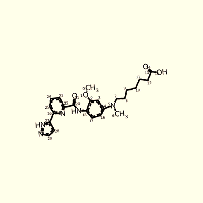 COc1cc(N(C)CCCCCCC(=O)O)ccc1NC(=O)c1cccc(-c2ccn[nH]2)n1